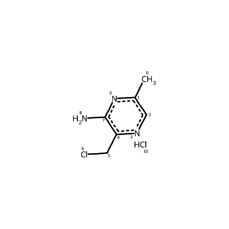 Cc1cnc(CCl)c(N)n1.Cl